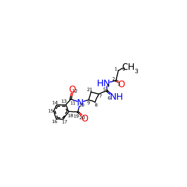 CCC(=O)NC(=N)C1CC(N2C(=O)c3ccccc3C2=O)C1